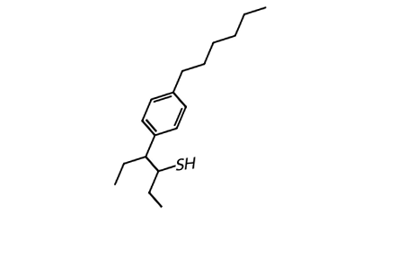 CCCCCCc1ccc(C(CC)C(S)CC)cc1